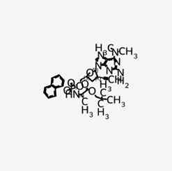 C#C[C@H]1C[C@@H](CO[P@@](=O)(N[C@H](C)C(=O)OCC(C)(C)C)Oc2cccc3ccccc23)O[C@H]1n1cnc2c(N(C)C)nc(N)nc21